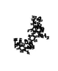 Cc1c(-c2ccc(NC(=O)Nc3cc(C(F)(F)F)ccc3I)cc2)c2c(N)ncnn2c1CN1CCOCC1